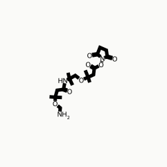 CC(C)(COC(C)(C)CC(=O)ON1C(=O)CCC1=O)NC(=O)CC(C)(C)OCN